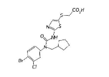 O=C(O)CSc1cnc(NC(=O)N(CC2CCCC2)c2ccc(Br)c(Cl)c2)s1